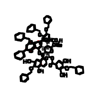 CO[C@H]1O[C@H](COC(=O)c2cc(O)c(OCc3ccccc3)c(O)c2)[C@H](OC(=O)c2cc(O)c(OCc3ccccc3)c(O)c2)[C@H](c2c(C(=O)O)cc(OCc3ccccc3)c(OCc3ccccc3)c2OCc2ccccc2)[C@@H]1c1c(C(=O)O)cc(OCc2ccccc2)c(OCc2ccccc2)c1OCc1ccccc1